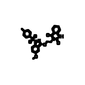 COc1ccc2c(c1)c(OCCn1c(=O)[nH]c3ccccc3c1=O)nn2S(=O)(=O)c1ccc(C)cc1